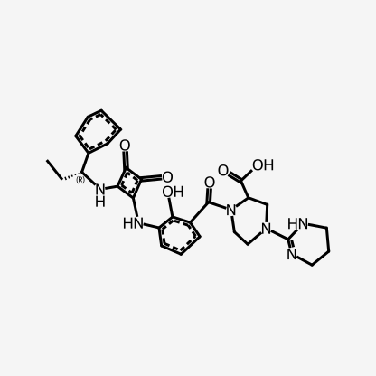 CC[C@@H](Nc1c(Nc2cccc(C(=O)N3CCN(C4=NCCCN4)CC3C(=O)O)c2O)c(=O)c1=O)c1ccccc1